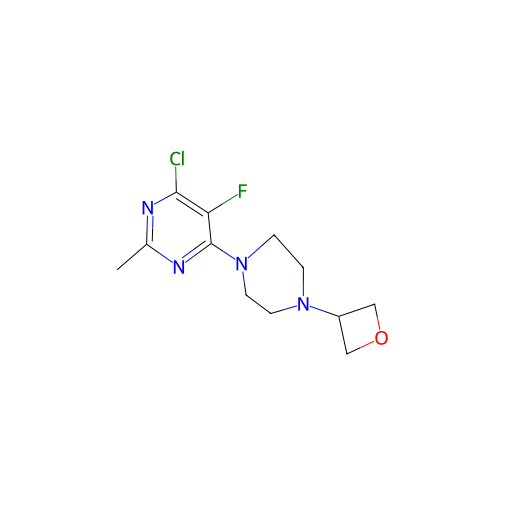 Cc1nc(Cl)c(F)c(N2CCN(C3COC3)CC2)n1